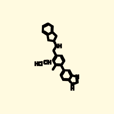 Cc1cc(CNC2Cc3ccccc3C2)ccc1-c1ccc2[nH]cnc2c1.Cl.Cl